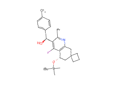 CC(C)c1nc2c(c(I)c1[C@@H](O)c1ccc(C(F)(F)F)cc1)[C@@H](O[Si](C)(C)C(C)(C)C)CC1(CCC1)C2